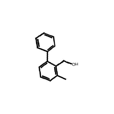 Cc1cccc(-c2ccccc2)c1CO